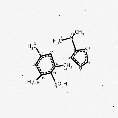 CN(C)c1cncs1.Cc1cc(C)c(S(=O)(=O)O)c(C)c1